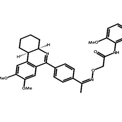 COc1ccccc1NC(=O)CO/N=C(/C)c1ccc(C2=N[C@@H]3CCCC[C@@H]3c3cc(OC)c(OC)cc32)cc1